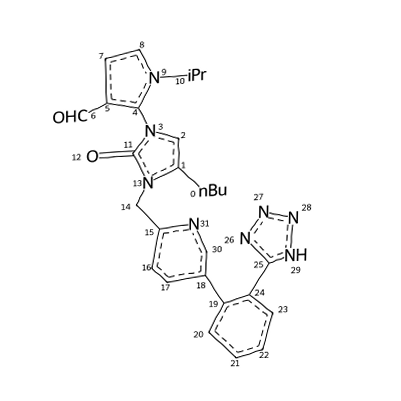 CCCCc1cn(-c2c(C=O)ccn2C(C)C)c(=O)n1Cc1ccc(-c2ccccc2-c2nnn[nH]2)cn1